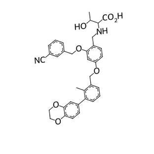 Cc1c(COc2ccc(CNC(C(=O)O)C(C)O)c(OCc3cccc(C#N)c3)c2)cccc1-c1ccc2c(c1)OCCO2